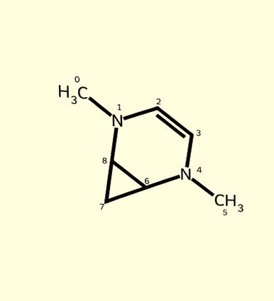 CN1C=CN(C)C2CC21